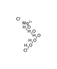 O.O.O.O.O.[Cl-].[Cl-].[Mg+2]